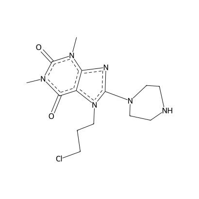 Cn1c(=O)c2c(nc(N3CCNCC3)n2CCCCl)n(C)c1=O